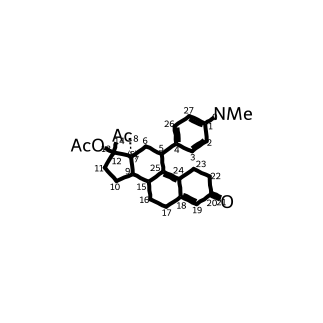 CNc1ccc(C2C[C@@]3(C)C(CCC3(OC(C)=O)C(C)=O)C3CCC4=CC(=O)CCC4=C23)cc1